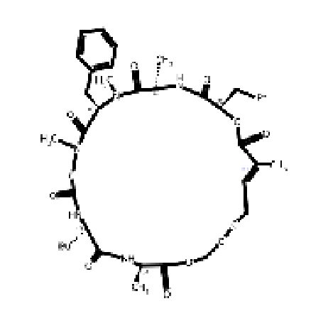 CCC(C)[C@@H]1NC(=O)CN(C)C(=O)[C@@H](Cc2ccccc2)N(C)C(=O)[C@H](C)NC(=O)[C@@H](CC(C)C)OC(=O)/C(C)=C/CCCCOC(=O)[C@@H](C)NC1=O